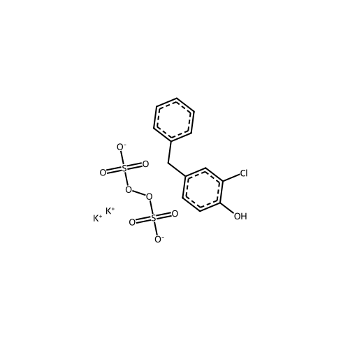 O=S(=O)([O-])OOS(=O)(=O)[O-].Oc1ccc(Cc2ccccc2)cc1Cl.[K+].[K+]